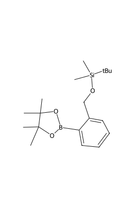 CC1(C)OB(c2ccccc2CO[Si](C)(C)C(C)(C)C)OC1(C)C